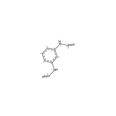 CCCCCNc1cccc(NCCCCC)c1